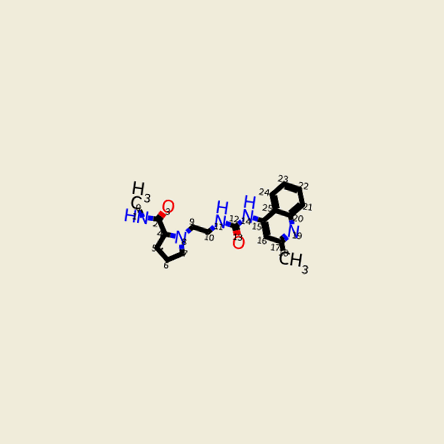 CNC(=O)C1[CH]CCN1CCNC(=O)Nc1cc(C)nc2ccccc12